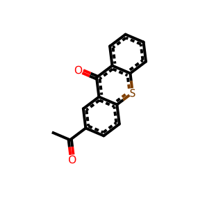 CC(=O)c1ccc2sc3ccccc3c(=O)c2c1